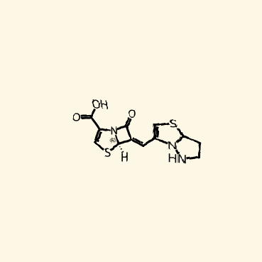 O=C(O)C1=CS[C@@H]2C(=CC3=CSC4CCNN34)C(=O)N12